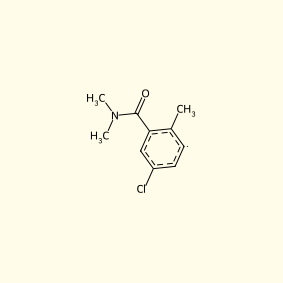 Cc1[c]cc(Cl)cc1C(=O)N(C)C